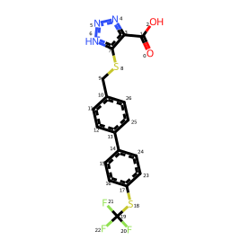 O=C(O)c1nn[nH]c1SCc1ccc(-c2ccc(SC(F)(F)F)cc2)cc1